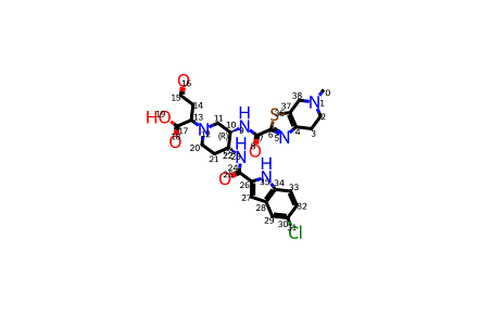 CN1CCc2nc(C(=O)N[C@@H]3CN(C(CC=O)C(=O)O)CC[C@@H]3NC(=O)c3cc4cc(Cl)ccc4[nH]3)sc2C1